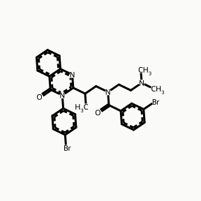 CC(CN(CCN(C)C)C(=O)c1cccc(Br)c1)c1nc2ccccc2c(=O)n1-c1ccc(Br)cc1